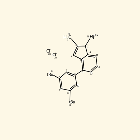 CC1=Cc2c(-c3cc(C(C)(C)C)cc(C(C)(C)C)c3)cccc2[CH]1[Hf+2].[Cl-].[Cl-]